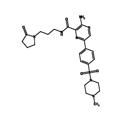 CN1CCN(S(=O)(=O)c2ccc(-c3cnc(N)c(C(=O)NCCCN4CCCC4=O)n3)cc2)CC1